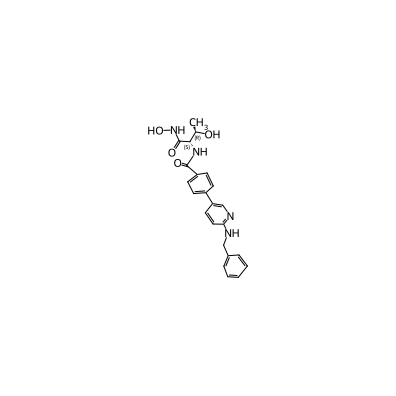 C[C@@H](O)[C@H](NC(=O)c1ccc(-c2ccc(NCc3ccccc3)nc2)cc1)C(=O)NO